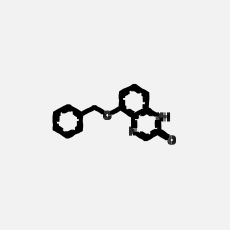 O=c1cnc2c(OCc3ccccc3)cccc2[nH]1